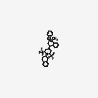 COc1ccccc1C(CNCc1ccccc1)N1CC(C(F)(F)F)N(C2CCc3ccccc3C2)C(C(F)(F)F)C1